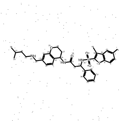 Cc1ccc2sc(S(=O)(=O)NC(CC(=O)NC3CCOc4cc(CNCCC(C)C)ccc43)c3ccccc3)c(C)c2c1